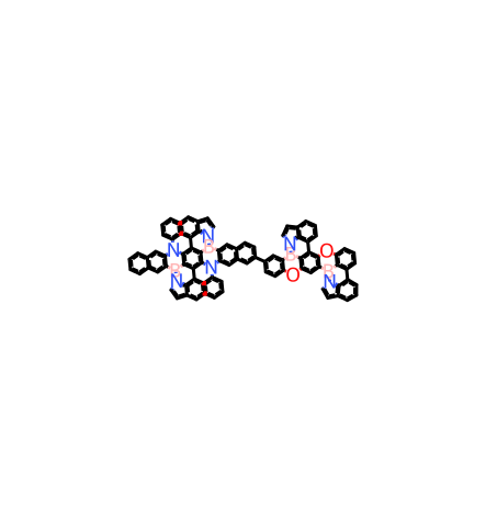 c1ccc(N2c3cc4ccccc4cc3B3c4c(c5c6c(c42)-c2cccc4ccn(c24)B6c2cc4ccc(-c6ccc7c(c6)B6c8c(cc9c(c8-c8cccc%10ccn6c8%10)Oc6cccc8c6B9n6ccc9cccc-8c96)O7)cc4cc2N5c2ccccc2)-c2cccc4ccn3c24)cc1